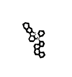 C1=CC(N(c2ccccc2)c2cccc3c2ccc2ccc4ccccc4c23)=C2Sc3cc4ccccc4cc3C2C1